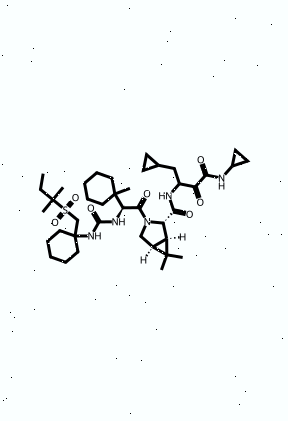 CCC(C)(C)S(=O)(=O)CC1(NC(=O)N[C@H](C(=O)N2C[C@H]3[C@@H]([C@H]2C(=O)NC(CC2CC2)C(=O)C(=O)NC2CC2)C3(C)C)C2(C)CCCCC2)CCCCC1